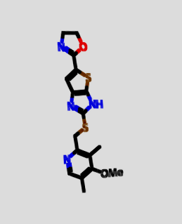 COc1c(C)cnc(CSc2nc3cc(C4=NCCO4)sc3[nH]2)c1C